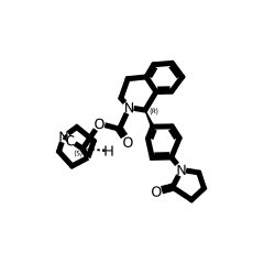 O=C1CCCN1c1ccc([C@@H]2c3ccccc3CCN2C(=O)O[C@@H]2CN3CCC2CC3)cc1